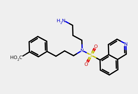 NCCCN(CCCc1cccc(C(=O)O)c1)S(=O)(=O)c1cccc2cnccc12